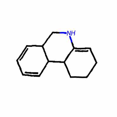 C1=CC2CNC3=CCCCC3C2C=C1